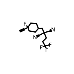 C#CC1(F)CCC(CC(C#N)(C#N)CCC(F)(F)F)CC1